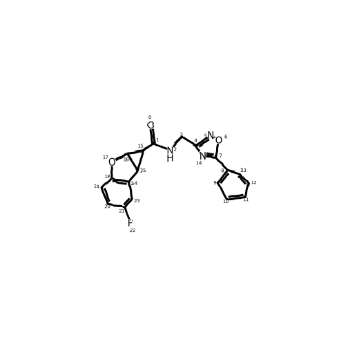 O=C(NCc1noc(-c2ccccc2)n1)C1C2Oc3ccc(F)cc3C21